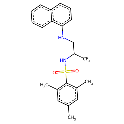 Cc1cc(C)c(S(=O)(=O)NC(CNc2cccc3ccccc23)C(F)(F)F)c(C)c1